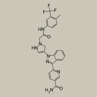 Cc1ccc(NC(=O)CN2CC(n3nc(-c4ccc(C(N)=O)cn4)c4ccccc43)=CN2)cc1C(F)(F)F